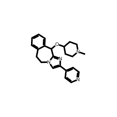 CN1CCC(OC2c3ccccc3CCn3cc(-c4ccncc4)nc32)CC1